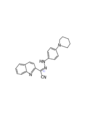 N#C/C(=N/Nc1ccc(N2CCCCC2)cc1)c1ccc2ccccc2n1